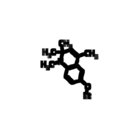 CCOc1ccc2c(c1)C(C)=CC(C)(C)N2C